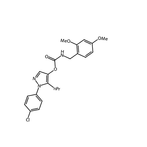 CCCc1c(OC(=O)NCc2ccc(OC)cc2OC)cnn1-c1ccc(Cl)cc1